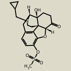 CS(=O)(=O)Oc1ccc2c3c1O[C@H]1C(=O)CC[C@@]4(O)[C@@H](C2)N(CC2CC2)CC[C@]314